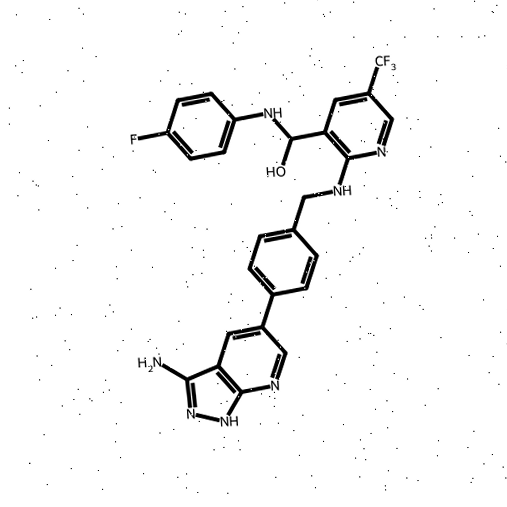 Nc1n[nH]c2ncc(-c3ccc(CNc4ncc(C(F)(F)F)cc4C(O)Nc4ccc(F)cc4)cc3)cc12